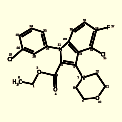 CCOC(=O)c1c(N2CCOCC2)c2c(Cl)c(F)ccc2n1-c1cccc(Cl)c1